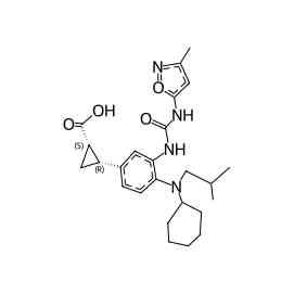 Cc1cc(NC(=O)Nc2cc([C@@H]3C[C@@H]3C(=O)O)ccc2N(CC(C)C)C2CCCCC2)on1